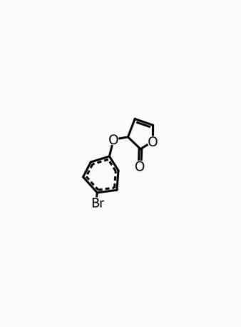 O=C1OC=CC1Oc1ccc(Br)cc1